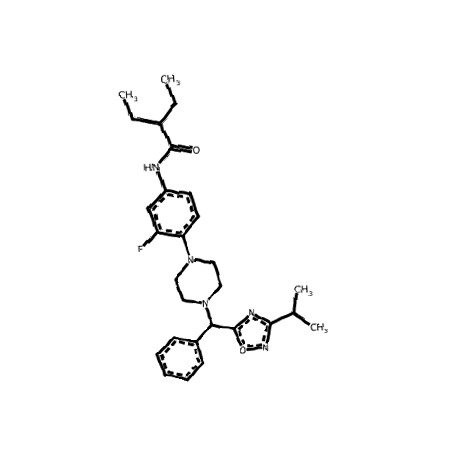 CCC(CC)C(=O)Nc1ccc(N2CCN(C(c3ccccc3)c3nc(C(C)C)no3)CC2)c(F)c1